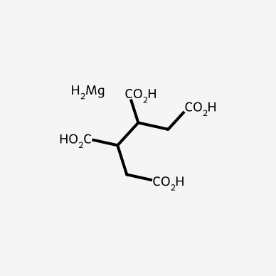 O=C(O)CC(C(=O)O)C(CC(=O)O)C(=O)O.[MgH2]